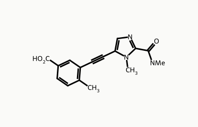 CNC(=O)c1ncc(C#Cc2cc(C(=O)O)ccc2C)n1C